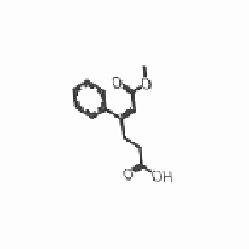 COC(=O)/C=C(/CCC(=O)O)c1ccccc1